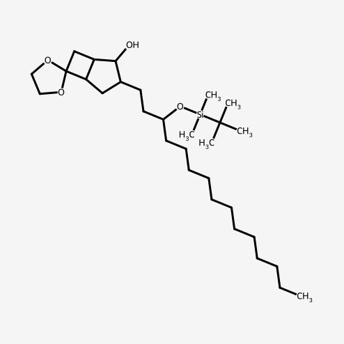 CCCCCCCCCCCCC(CCC1CC2C(CC23OCCO3)C1O)O[Si](C)(C)C(C)(C)C